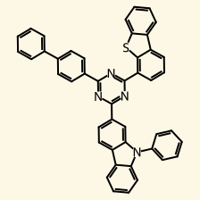 c1ccc(-c2ccc(-c3nc(-c4ccc5c6ccccc6n(-c6ccccc6)c5c4)nc(-c4cccc5c4sc4ccccc45)n3)cc2)cc1